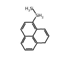 [SiH3][SiH2]c1ccc2cccc3c2c1C=CC3